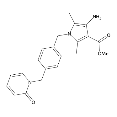 COC(=O)c1c(N)c(C)n(Cc2ccc(Cn3ccccc3=O)cc2)c1C